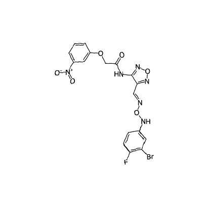 O=C(COc1cccc([N+](=O)[O-])c1)Nc1nonc1/C=N/ONc1ccc(F)c(Br)c1